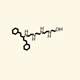 OCCNCCNCCNCCNC(CCC1CCCCC1)CCC1CCCCC1